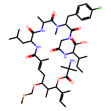 C/C=C(\C)C(OC(=O)C(C)(C)N)C(C)C(C/C=C(\C)C(=O)NC(CC(C)C)C(=O)NC(C)C(=O)N(C)C(Cc1ccc(Cl)cc1)C(=O)N(C)CC(=O)NC(C(=O)O)C(C)CC)OCSC